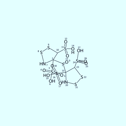 O=C(C1(S(=O)(=O)O)NSSC1S(=O)(=O)O)C1(S(=O)(=O)O)NSSC1S(=O)(=O)O